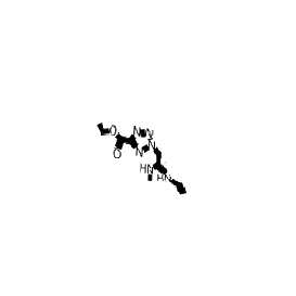 C=CN/C=C(/Cn1nnc(C(=O)OCC)n1)NC